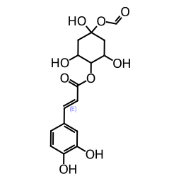 O=COC1(O)CC(O)C(OC(=O)/C=C/c2ccc(O)c(O)c2)C(O)C1